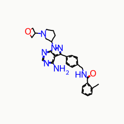 Cc1ccccc1C(=O)NCc1ccc(-c2nn(C3CCCN(C4COC4)C3)c3ncnc(N)c23)cc1